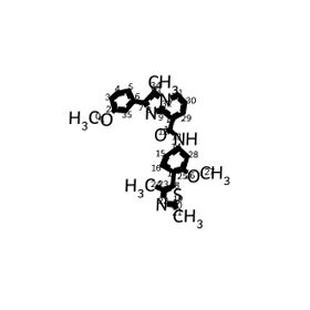 COc1cccc(-c2nc3c(C(=O)Nc4ccc(-c5sc(C)nc5C)c(OC)c4)cccn3c2C)c1